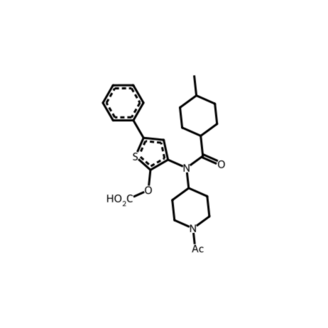 CC(=O)N1CCC(N(C(=O)C2CCC(C)CC2)c2cc(-c3ccccc3)sc2OC(=O)O)CC1